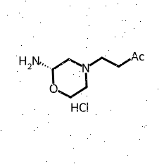 CC(=O)CCN1CCO[C@H](N)C1.Cl